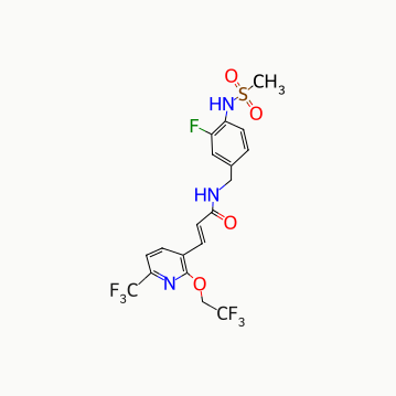 CS(=O)(=O)Nc1ccc(CNC(=O)/C=C/c2ccc(C(F)(F)F)nc2OCC(F)(F)F)cc1F